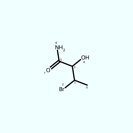 CC(Br)C(O)C(N)=O